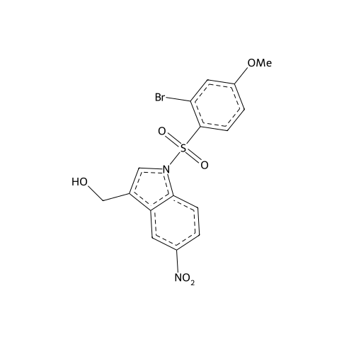 COc1ccc(S(=O)(=O)n2cc(CO)c3cc([N+](=O)[O-])ccc32)c(Br)c1